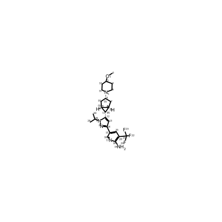 COC1CCN([C@@H]2C[C@@H]3[C@H](C2)[C@H]3c2cc(-c3cnc(N)c(C(F)(F)F)c3)nn2C(C)C)CC1